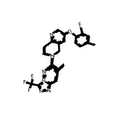 Cc1ccc(Oc2cnc3c(c2)CN(c2nn4c(C(F)(F)F)nnc4cc2C)CC3)c(F)c1